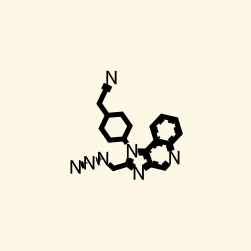 N#CCC1CCC(n2c(CN=[N+]=[N-])nc3cnc4ccccc4c32)CC1